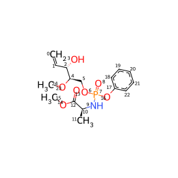 C=C[C@H](O)[C@@H](COP(=O)(N[C@@H](C)C(=O)OC)Oc1ccccc1)OC